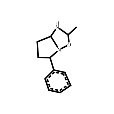 CC1NC2CCC(c3ccccc3)N2O1